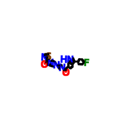 O=C(c1ccc2c(-c3ccc(F)cc3)c[nH]c2c1)N1CC(N2CCN(C(=O)c3nccs3)CC2)C1